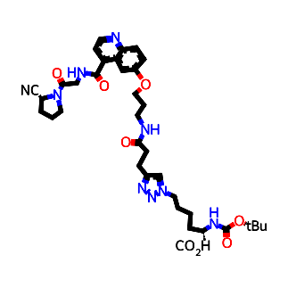 CC(C)(C)OC(=O)N[C@@H](CCCCn1cc(CCC(=O)NCCCOc2ccc3nccc(C(=O)NCC(=O)N4CCC[C@H]4C#N)c3c2)nn1)C(=O)O